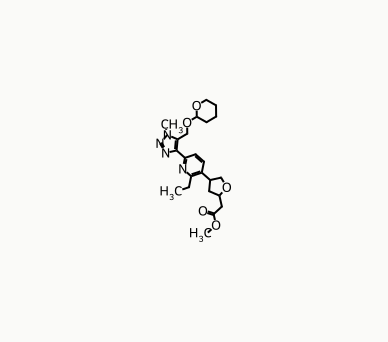 CCc1nc(-c2nnn(C)c2COC2CCCCO2)ccc1C1COC(CC(=O)OC)C1